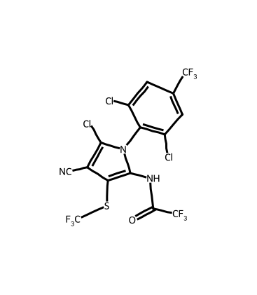 N#Cc1c(SC(F)(F)F)c(NC(=O)C(F)(F)F)n(-c2c(Cl)cc(C(F)(F)F)cc2Cl)c1Cl